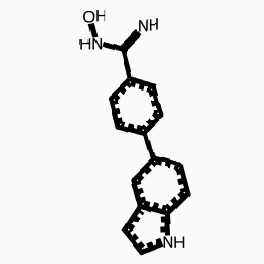 N=C(NO)c1ccc(-c2ccc3[nH]ccc3c2)cc1